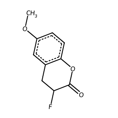 COc1ccc2c(c1)CC(F)C(=O)O2